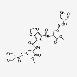 COC(=O)C(CSSN[C@H](C=O)CS)NC(=O)c1sc(C(=O)NC(CSSN[C@H](C=O)CS)C(=O)OC)c2c1OCCO2